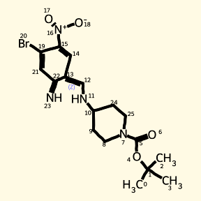 CC(C)(C)OC(=O)N1CCC(N/C=C2/C=C([N+](=O)[O-])C(Br)=CC2=N)CC1